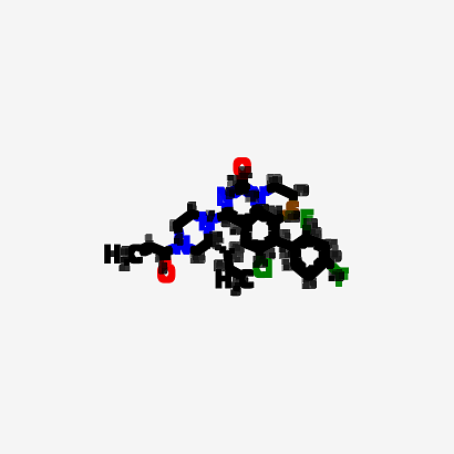 C=CC(=O)N1CCN(c2nc(=O)n3c4c(c(-c5ccc(F)cc5F)c(Cl)cc24)SCC3)[C@H](CCC)C1